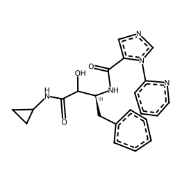 O=C(N[C@@H](Cc1ccccc1)C(O)C(=O)NC1CC1)c1cncn1-c1ccccn1